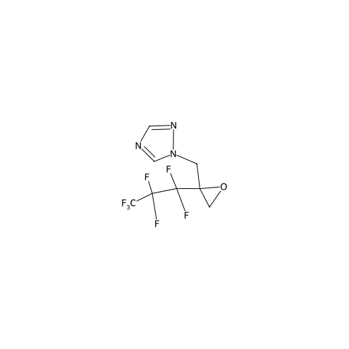 FC(F)(F)C(F)(F)C(F)(F)C1(Cn2cncn2)CO1